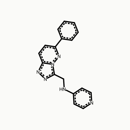 c1ccc(-c2ccc3nnc(CNc4ccncc4)n3n2)cc1